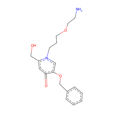 NCCOCCCn1cc(OCc2ccccc2)c(=O)cc1CO